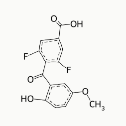 COc1ccc(O)c(C(=O)c2c(F)cc(C(=O)O)cc2F)c1